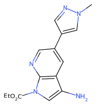 CCOC(=O)n1cc(N)c2cc(-c3cnn(C)c3)cnc21